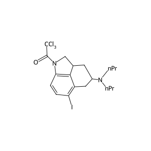 CCCN(CCC)C1Cc2c(I)ccc3c2C(C1)CN3C(=O)C(Cl)(Cl)Cl